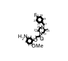 COc1ccc(N)cc1OCC(=O)N1C[C@H](C)N(Cc2ccc(F)cc2)C[C@H]1C